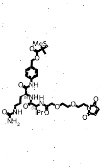 CSC(C)(C)C(=O)OCc1ccc(NC(=O)[C@H](CCCNC(N)=O)NC(=O)[C@@H](NC(=O)COCCOCCN2C(=O)C=CC2=O)C(C)C)cc1